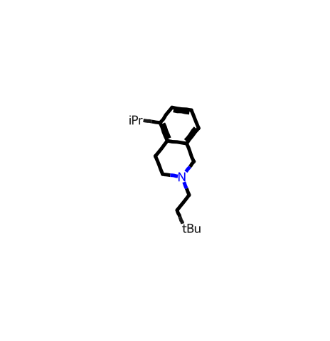 CC(C)c1cccc2c1CCN(CCC(C)(C)C)C2